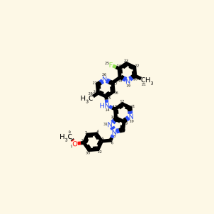 COc1ccc(Cn2cc3nccc(Nc4cc(-c5nc(C)ccc5F)ncc4C)c3n2)cc1